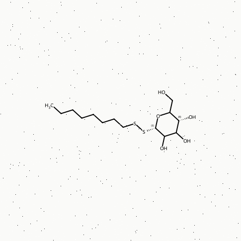 CCCCCCCCSS[C@@H]1OC(CO)[C@H](O)C(O)C1O